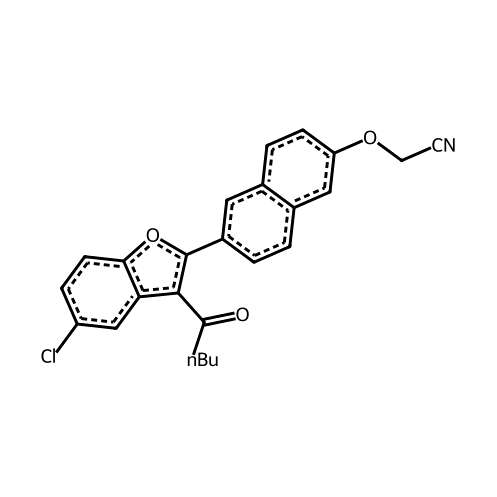 CCCCC(=O)c1c(-c2ccc3cc(OCC#N)ccc3c2)oc2ccc(Cl)cc12